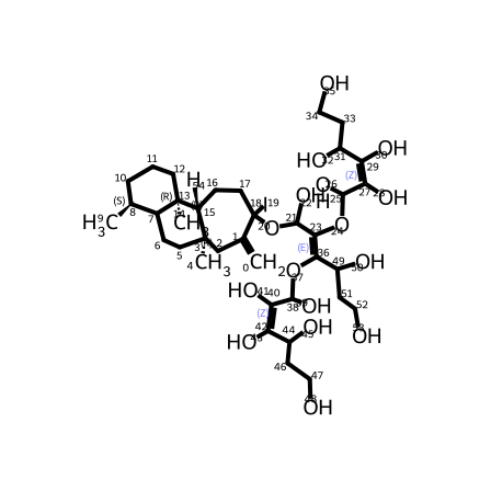 C=C1C[C@@]2(C)CCC3[C@@H](C)CCC[C@@]3(C)[C@@H]2CCC1(I)OC(O)/C(OC(O)/C(O)=C(/O)C(O)CCO)=C(\OC(O)/C(O)=C(/O)C(O)CCO)C(O)CCO